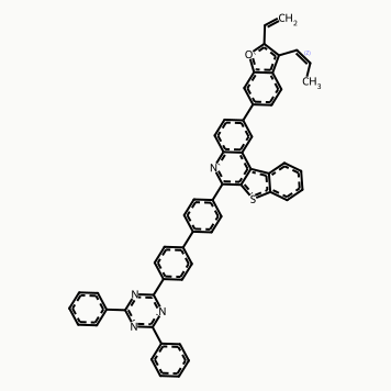 C=Cc1oc2cc(-c3ccc4nc(-c5ccc(-c6ccc(-c7nc(-c8ccccc8)nc(-c8ccccc8)n7)cc6)cc5)c5sc6ccccc6c5c4c3)ccc2c1/C=C\C